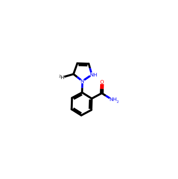 [2H]C1C=CNN1c1ccccc1C(N)=O